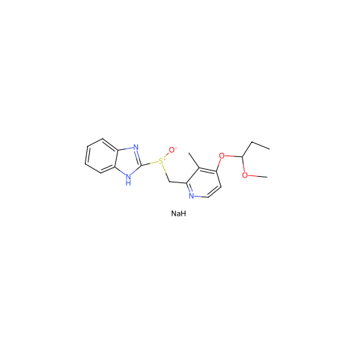 CCC(OC)Oc1ccnc(C[S+]([O-])c2nc3ccccc3[nH]2)c1C.[NaH]